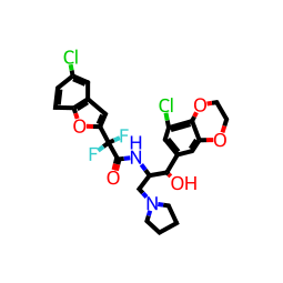 O=C(NC(CN1CCCC1)C(O)c1cc(Cl)c2c(c1)OCCO2)C(F)(F)c1cc2cc(Cl)ccc2o1